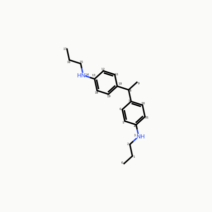 CCCNc1ccc(C(C)c2ccc(NCCC)cc2)cc1